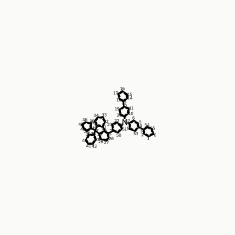 c1ccc(-c2ccc(N(c3ccc(-c4ccccc4)cc3)c3ccc(-c4cccc5c4-c4ccccc4C5(c4ccccc4)c4ccccc4)cc3)cc2)cc1